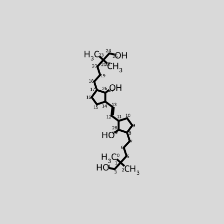 CC(C)(CO)CCCC1CCC(/C=C/C2CCC(CCCC(C)(C)CO)C2O)C1O